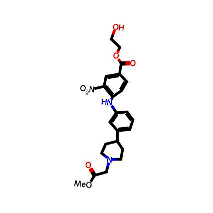 COC(=O)CN1CCC(c2cccc(Nc3ccc(C(=O)OCCO)cc3[N+](=O)[O-])c2)CC1